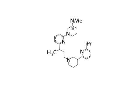 CN[C@H]1CCCN(c2cccc(C(C)CCN3CCCC(c4cccc(C(C)C)n4)C3)n2)C1